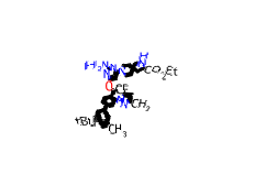 CCOC(=O)C1CC2(CCN(c3cc(O[C@H](c4ccc(-c5cc(C)cc(C(C)(C)C)c5)cc4-n4ccc(C)n4)C(F)(F)F)nc(N)n3)CC2)CN1